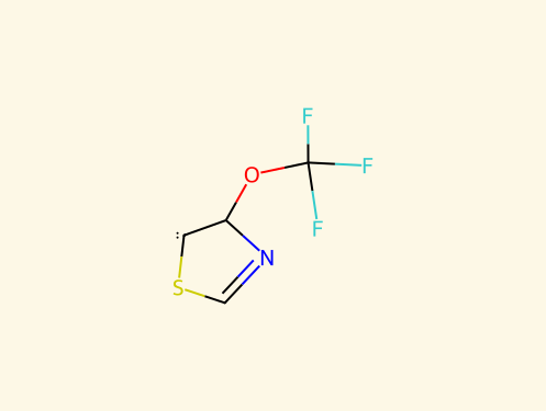 FC(F)(F)OC1[C]SC=N1